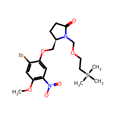 COc1cc(Br)c(OC[C@H]2CCC(=O)N2COCC[Si](C)(C)C)cc1[N+](=O)[O-]